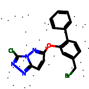 Clc1nnc2ccc(Oc3cc(CBr)ccc3-c3ccccc3)nn12